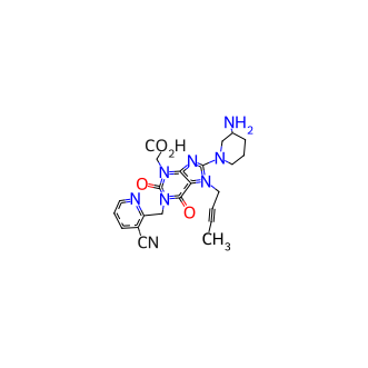 CC#CCn1c(N2CCCC(N)C2)nc2c1c(=O)n(Cc1ncccc1C#N)c(=O)n2CC(=O)O